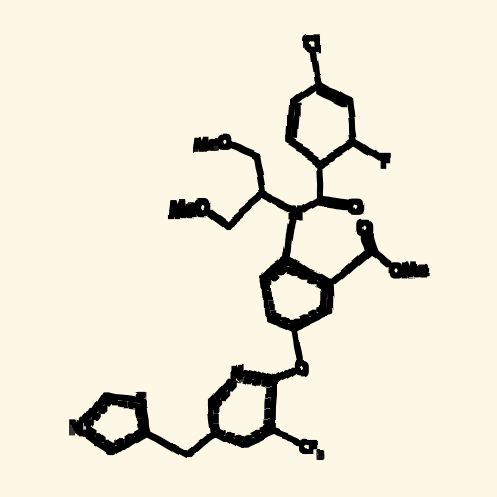 COCC(COC)N(C(=O)C1C=CC(Cl)=CC1F)c1ccc(Oc2ncc(Cc3cncs3)cc2C(F)(F)F)cc1C(=O)OC